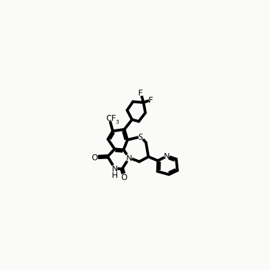 O=c1[nH]c(=O)n2c3c(c(C4CCC(F)(F)CC4)c(C(F)(F)F)cc13)SCC(c1ccccn1)C2